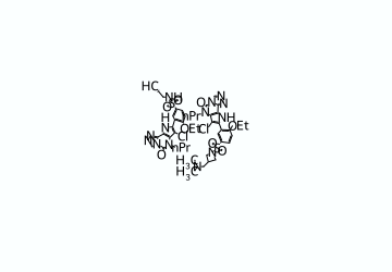 C#CCNS(=O)(=O)c1ccc(OCC)c(-c2[nH]c3c(c2Cl)n(CCC)c(=O)n2cnnc32)c1.CCCn1c(=O)n2cnnc2c2[nH]c(-c3cc(S(=O)(=O)N4CC(CN(C)C)C4)ccc3OCC)c(Cl)c21